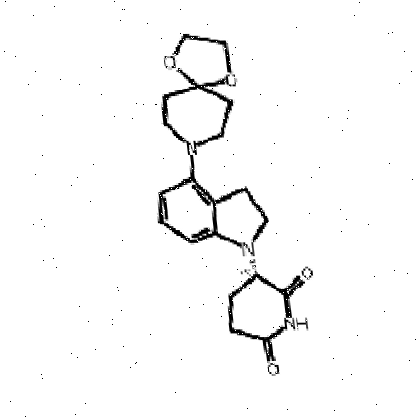 O=C1CC[C@H](N2CCc3c(N4CCC5(CC4)OCCO5)cccc32)C(=O)N1